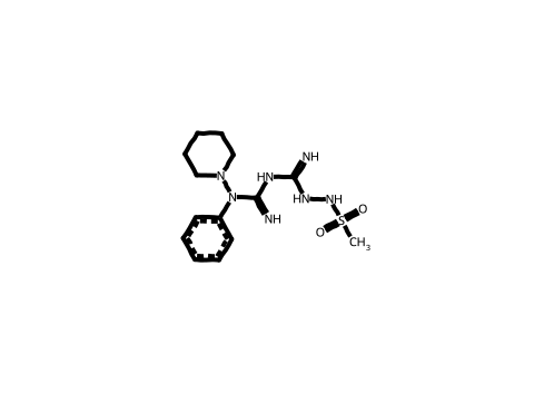 CS(=O)(=O)NNC(=N)NC(=N)N(c1ccccc1)N1CCCCC1